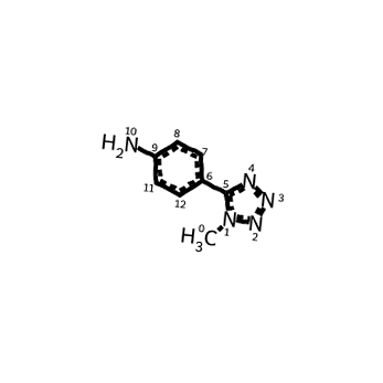 Cn1nnnc1-c1ccc(N)cc1